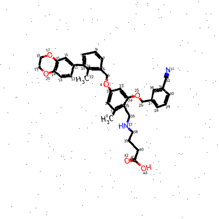 Cc1cc(OCc2cccc(-c3ccc4c(c3)OCCO4)c2C)cc(OCc2cccc(C#N)c2)c1CNCCCC(=O)O